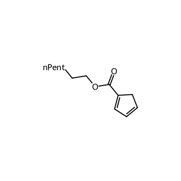 CCCCCCCOC(=O)C1=CC=CC1